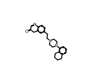 O=C1C=Nc2ccc(CCN3CCN(c4cccc5c4CCCC5)CC3)cc2C1